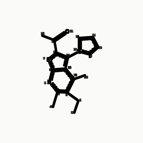 CCc1c(C)nc2sc(C(C)=O)c(-n3cccc3)c2c1C